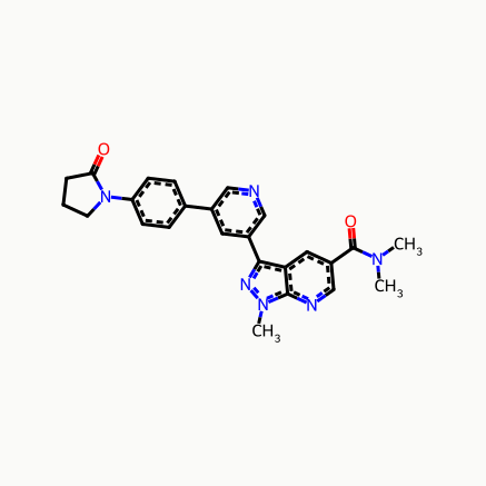 CN(C)C(=O)c1cnc2c(c1)c(-c1cncc(-c3ccc(N4CCCC4=O)cc3)c1)nn2C